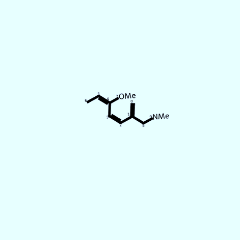 C=C(/C=C\C(=C/C)OC)CNC